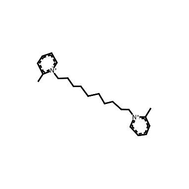 Cc1cccc[n+]1CCCCCCCCCC[n+]1ccccc1C